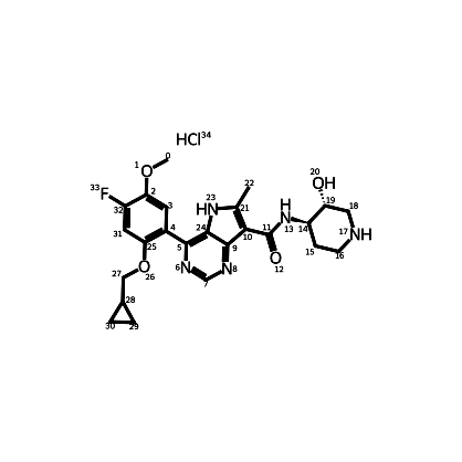 COc1cc(-c2ncnc3c(C(=O)N[C@@H]4CCNC[C@H]4O)c(C)[nH]c23)c(OCC2CC2)cc1F.Cl